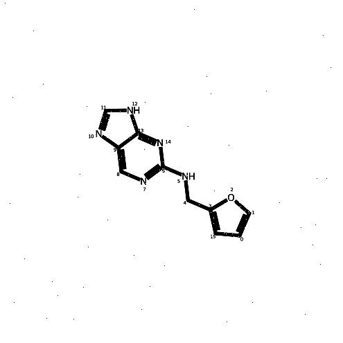 c1coc(CNc2ncc3nc[nH]c3n2)c1